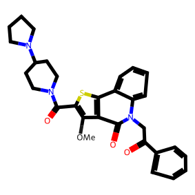 COc1c(C(=O)N2CCC(N3CCCC3)CC2)sc2c1c(=O)n(CC(=O)c1ccccc1)c1ccccc21